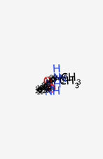 CN(C)CCNc1ccc(C(=O)Nc2ccc(-c3ccccc3)c3c2C(=O)NC3)cc1